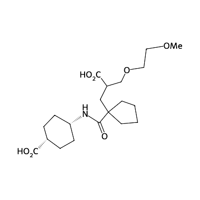 COCCOCC(CC1(C(=O)N[C@H]2CC[C@@H](C(=O)O)CC2)CCCC1)C(=O)O